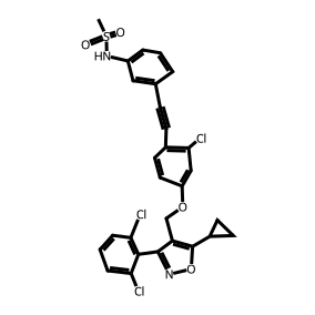 CS(=O)(=O)Nc1cccc(C#Cc2ccc(OCc3c(-c4c(Cl)cccc4Cl)noc3C3CC3)cc2Cl)c1